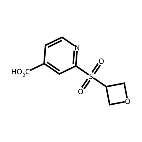 O=C(O)c1ccnc(S(=O)(=O)C2COC2)c1